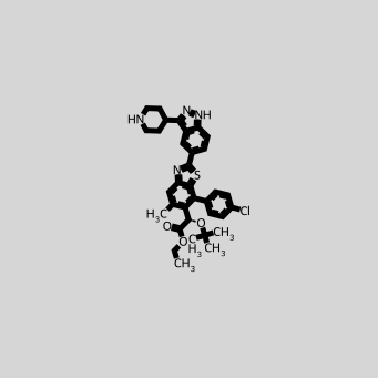 CCOC(=O)[C@@H](OC(C)(C)C)c1c(C)cc2nc(-c3ccc4[nH]nc(C5CCNCC5)c4c3)sc2c1-c1ccc(Cl)cc1